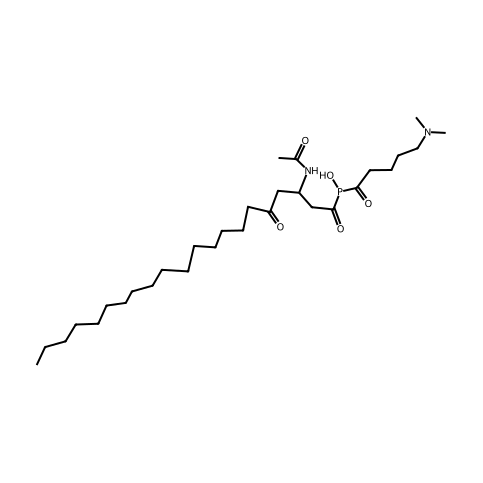 CCCCCCCCCCCCCCCCC(=O)CC(CC(=O)P(O)C(=O)CCCCN(C)C)NC(C)=O